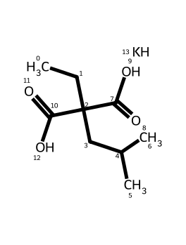 CCC(CC(C)C)(C(=O)O)C(=O)O.[KH]